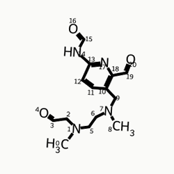 CN(CC=O)CCN(C)Cc1ccc(NC=O)nc1C=O